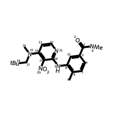 CNC(=O)c1ccc(C)c(Nc2nccc(N(C)CC(C)(C)C)c2[N+](=O)[O-])c1